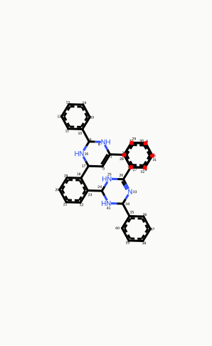 C1=C(c2ccccc2)NC(c2ccccc2)NC1c1ccccc1C1NC(c2ccccc2)=NC(c2ccccc2)N1